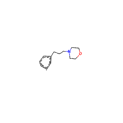 [c]1cccc(CCCN2CCOCC2)c1